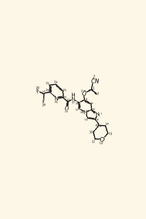 CC(C#N)Oc1cc2nc(C3CCOCC3)cn2cc1NC(=O)c1cccc(C(F)F)n1